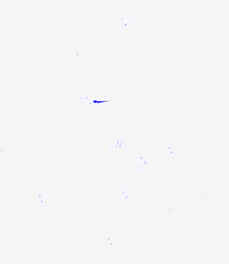 CCc1ncccc1[C@H](Nc1cc(Cl)c2ncc(C#N)c(NCC(C)(C)C)c2c1)C1=CN(C2(C(F)F)CC2)NN1